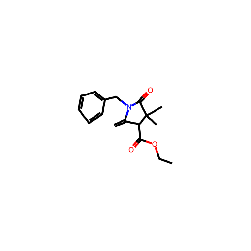 C=C1C(C(=O)OCC)C(C)(C)C(=O)N1Cc1ccccc1